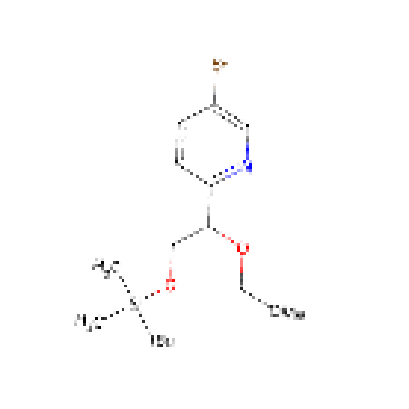 COCOC(CO[Si](C)(C)C(C)(C)C)c1ccc(Br)cn1